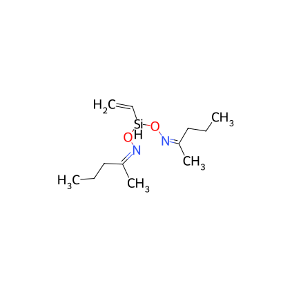 C=C[SiH](ON=C(C)CCC)ON=C(C)CCC